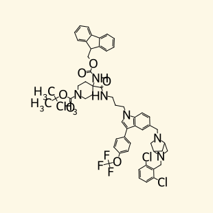 CC(C)(C)OC(=O)N1CCC(NC(=O)OCC2c3ccccc3-c3ccccc32)(C(=O)NCCCn2cc(-c3ccc(OC(F)(F)F)cc3)c3cc(CN4CC5CC4CN5Cc4c(Cl)cccc4Cl)ccc32)CC1